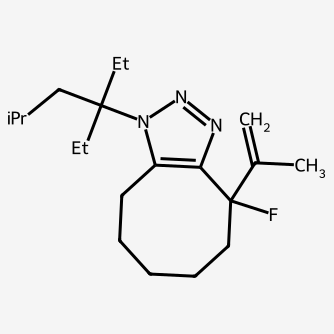 C=C(C)C1(F)CCCCCc2c1nnn2C(CC)(CC)CC(C)C